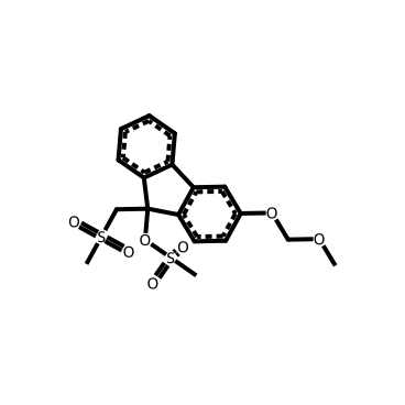 COCOc1ccc2c(c1)-c1ccccc1C2(CS(C)(=O)=O)OS(C)(=O)=O